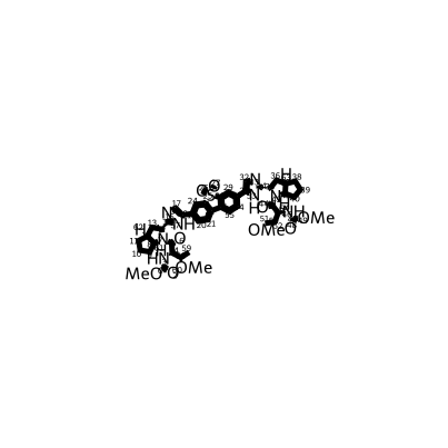 COC(=O)N[C@H](C(=O)N1[C@@H]2CCC[C@@H]2C[C@H]1c1ncc(-c2ccc3c(c2)S(=O)(=O)c2cc(-c4cnc([C@@H]5C[C@@H]6CCC[C@@H]6N5C(=O)[C@@H](NC(=O)OC)[C@@H](C)OC)[nH]4)ccc2-3)[nH]1)[C@@H](C)OC